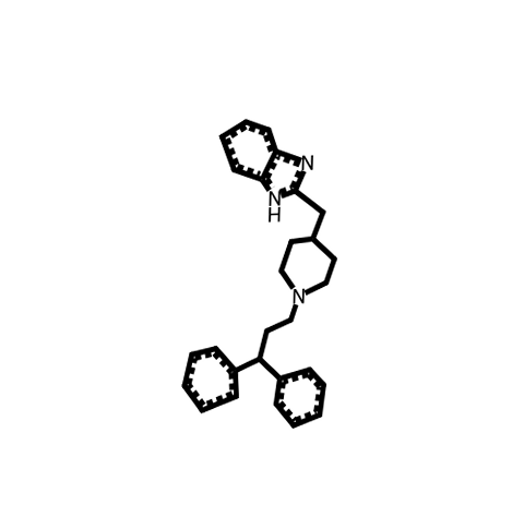 c1ccc(C(CCN2CCC(Cc3nc4ccccc4[nH]3)CC2)c2ccccc2)cc1